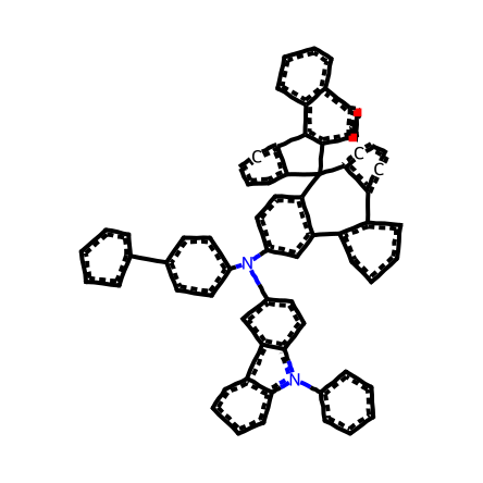 c1ccc(-c2ccc(N(c3ccc4c(c3)-c3ccccc3-c3ccccc3C43c4ccccc4-c4c3c3ccccc3c3ccccc43)c3ccc4c(c3)c3ccccc3n4-c3ccccc3)cc2)cc1